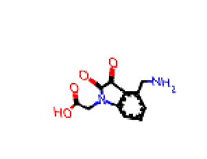 NCc1cccc2c1C(=O)C(=O)N2CC(=O)O